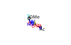 COc1cc(CNC(=O)c2nc3scc(COCC4CN(C(C)=O)CCO4)c3c(=O)[nH]2)ccc1F